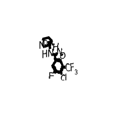 Fc1cc2c(N[C@@H]3CN4CCC3CC4)noc2c(C(F)(F)F)c1Cl